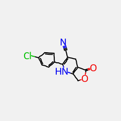 N#CC1=C(c2ccc(Cl)cc2)NC2=C(C1)C(=O)OC2